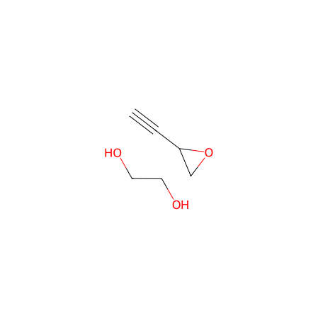 C#CC1CO1.OCCO